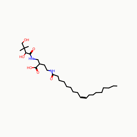 CCCCCCCC/C=C\CCCCCCCC(=O)NCCC(CNC(=O)C(O)C(C)(C)CO)C(=O)O